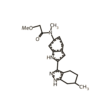 COCC(=O)N(C)c1ccc2cc(-c3n[nH]c4c3CCC(C)C4)[nH]c2c1